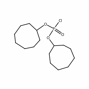 O=P(Cl)(OC1CCCCCCC1)OC1CCCCCCC1